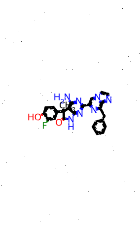 CC1(c2ccc(O)c(F)c2)C(=O)Nc2nc(-c3cn4ccnc4c(Cc4ccccc4)n3)nc(N)c21